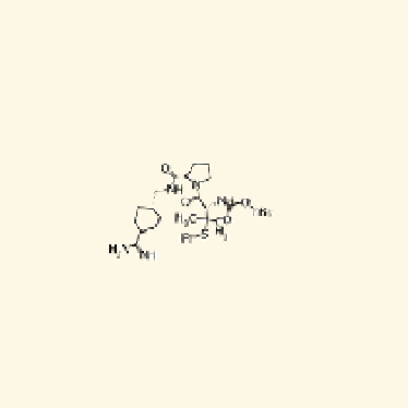 CCCCOC(=O)N[C@@H](C(=O)N1CCC[C@H]1C(=O)NC[C@H]1CC[C@H](C(=N)N)CC1)C(C)(C)SC(C)C